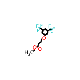 CCOC(=O)CCCOc1cc(C(F)(F)F)cc(C(F)(F)F)c1